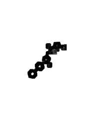 O=C(NCC1=CC(=O)N(c2ccc(C3CCCCC3)cc2)C1)c1ccc(Cl)s1